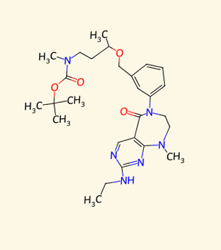 CCNc1ncc2c(n1)N(C)CCN(c1cccc(COC(C)CCN(C)C(=O)OC(C)(C)C)c1)C2=O